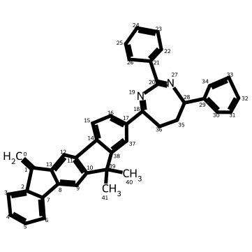 C=C1c2ccccc2-c2cc3c(cc21)-c1ccc(C2=NC(c4ccccc4)=NC(c4ccccc4)CC2)cc1C3(C)C